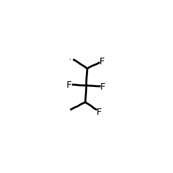 [CH2]C(F)C(F)(F)C(C)F